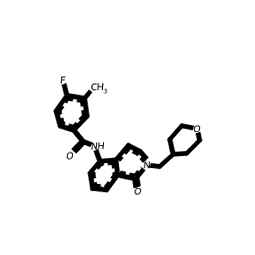 Cc1cc(C(=O)Nc2cccc3c(=O)n(CC4CCOCC4)ccc23)ccc1F